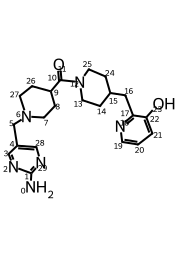 Nc1ncc(CN2CCC(C(=O)N3CCC(Cc4ncccc4O)CC3)CC2)cn1